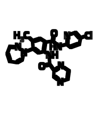 Cc1cc(C(=O)Nc2ccc(Cl)cn2)c(NC(=O)c2cnccn2)cc1N1C=CC=CC=N1